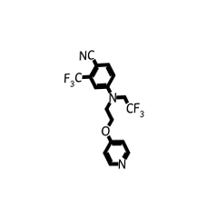 N#Cc1ccc(N(CCOc2ccncc2)CC(F)(F)F)cc1C(F)(F)F